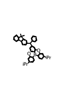 CC(C)c1ccc2c(c1)Oc1cc(C(c3ccccc3)c3ccc4c(c3)C(C)(C)c3ccccc3-4)cc3c1B2c1ccc(C(C)C)cc1O3